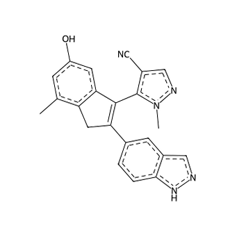 Cc1cc(O)cc2c1CC(c1ccc3[nH]ncc3c1)=C2c1c(C#N)cnn1C